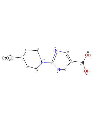 CCOC(=O)C1CCN(c2ncc(B(O)O)cn2)CC1